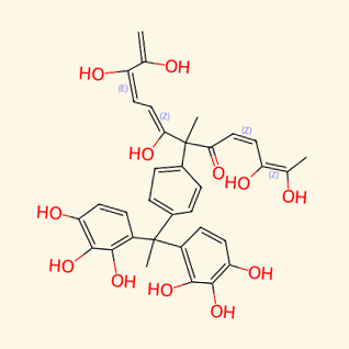 C=C(O)/C(O)=C\C=C(/O)C(C)(C(=O)/C=C\C(O)=C(/C)O)c1ccc(C(C)(c2ccc(O)c(O)c2O)c2ccc(O)c(O)c2O)cc1